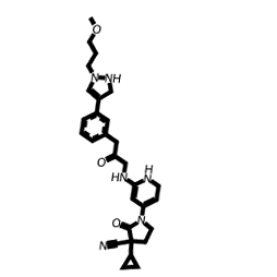 COCCCN1C=C(c2cccc(CC(=O)CNC3=CC(N4CCC(C#N)(C5CC5)C4=O)=CCN3)c2)CN1